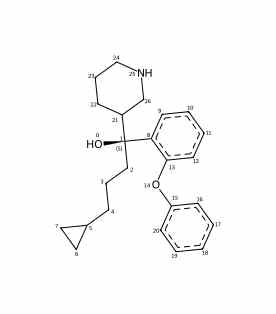 O[C@](CCCC1CC1)(c1ccccc1Oc1ccccc1)C1CCCNC1